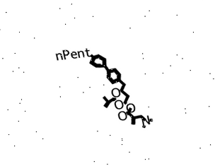 C=C(C)C(=O)OC(CCOC(=O)C(=C)CN(C)C)Cc1ccc(-c2ccc(CCCCC)cc2)cc1